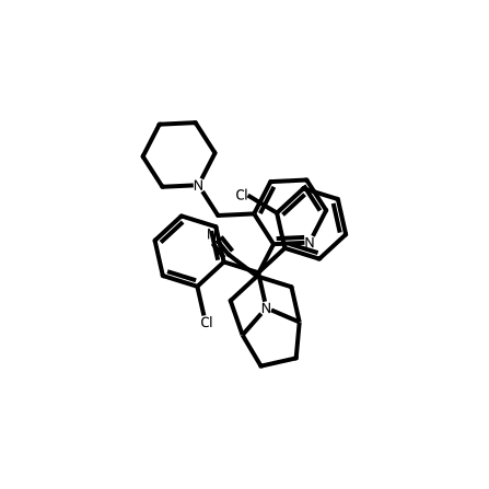 N#CC1(c2ncccc2CN2CCCCC2)CC2CCC(C1)N2C(c1ccccc1Cl)c1ccccc1Cl